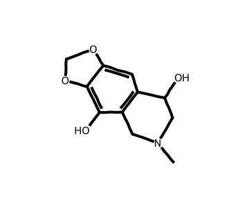 CN1Cc2c(cc3c(c2O)OCO3)C(O)C1